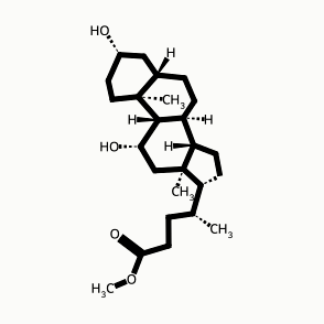 COC(=O)CC[C@@H](C)[C@H]1CC[C@H]2[C@@H]3CC[C@H]4C[C@@H](O)CC[C@]4(C)[C@H]3[C@@H](O)C[C@]12C